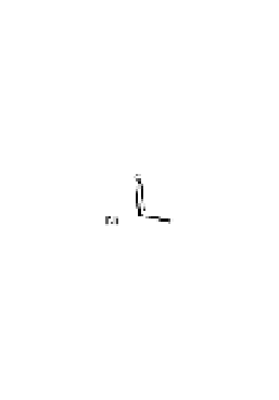 CC=S.[Ni]